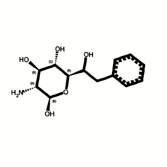 N[C@@H]1[C@@H](O)[C@H](O)[C@@H](C(O)Cc2ccccc2)O[C@H]1O